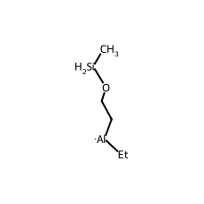 C[CH2][Al][CH2]CO[SiH2]C